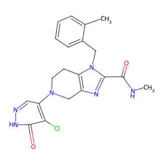 CNC(=O)c1nc2c(n1Cc1ccccc1C)CCN(c1cn[nH]c(=O)c1Cl)C2